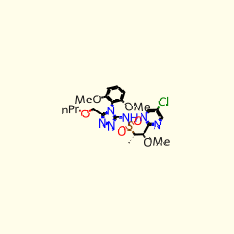 CCCOCc1nnc(NS(=O)(=O)[C@@H](C)[C@H](OC)c2ncc(Cl)cn2)n1-c1c(OC)cccc1OC